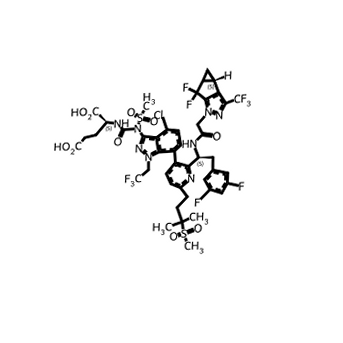 CC(C)(CCc1ccc(-c2ccc(Cl)c3c(N(C(=O)N[C@@H](CCC(=O)O)C(=O)O)S(C)(=O)=O)nn(CC(F)(F)F)c23)c([C@H](Cc2cc(F)cc(F)c2)NC(=O)Cn2nc(C(F)(F)F)c3c2C(F)(F)C2C[C@H]32)n1)S(C)(=O)=O